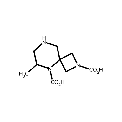 CC1CNCC2(CN(C(=O)O)C2)N1C(=O)O